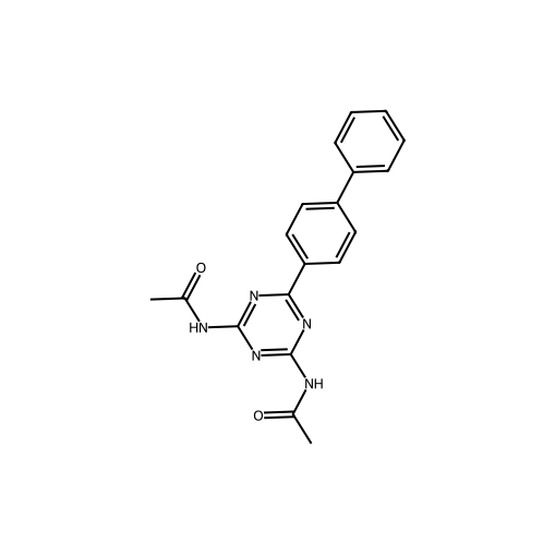 CC(=O)Nc1nc(NC(C)=O)nc(-c2ccc(-c3ccccc3)cc2)n1